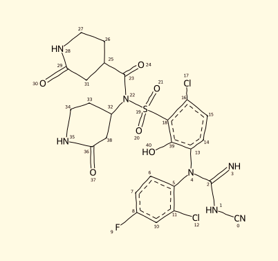 N#CNC(=N)N(c1ccc(F)cc1Cl)c1ccc(Cl)c(S(=O)(=O)N(C(=O)C2CCNC(=O)C2)C2CCNC(=O)C2)c1O